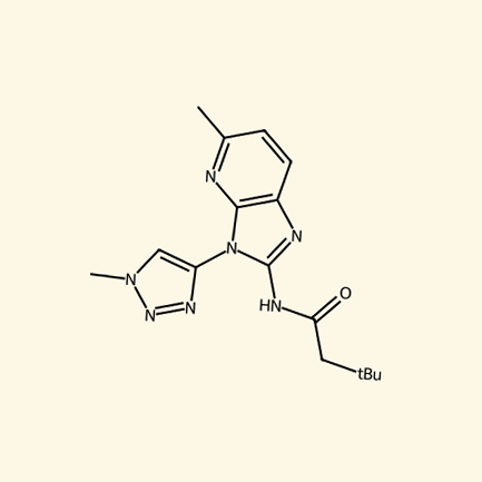 Cc1ccc2nc(NC(=O)CC(C)(C)C)n(-c3cn(C)nn3)c2n1